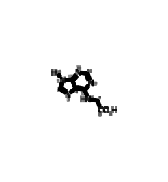 CCn1cnc2c(NCC(=O)O)ncnc21